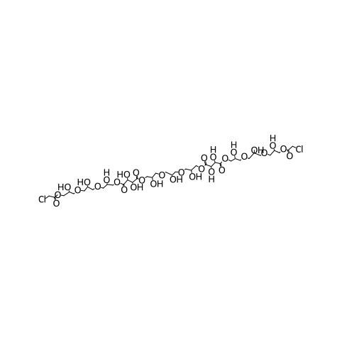 O=C(CCl)OCC(O)COCC(O)COCC(O)COC(=O)C(O)C(O)C(=O)OCC(O)COCC(O)COCC(O)COC(=O)C(O)C(O)C(=O)OCC(O)COCC(O)COCC(O)COC(=O)CCl